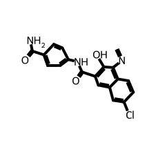 C=Nc1c(O)c(C(=O)Nc2ccc(C(N)=O)cc2)cc2cc(Cl)ccc12